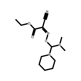 CCOC(=O)C(C#N)=NOC(N(C)C)N1CCCCC1